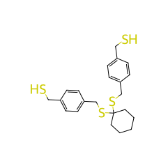 SCc1ccc(CSC2(SCc3ccc(CS)cc3)CCCCC2)cc1